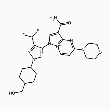 NC(=O)c1cn(-c2cn(C3CCC(CO)CC3)nc2C(F)F)[n+]2ccc(N3CCOCC3)nc12